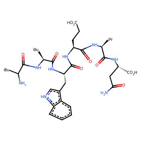 CCC(C)C(N)C(=O)N[C@H](C(=O)N[C@@H](Cc1c[nH]c2ccccc12)C(=O)N[C@@H](CCC(=O)O)C(=O)N[C@H](C(=O)N[C@@H](CC(N)=O)C(=O)O)C(C)C)C(C)CC